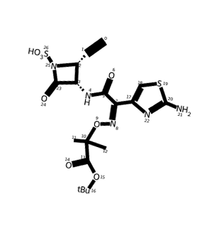 C#C[C@@H]1[C@H](NC(=O)C(=NOC(C)(C)C(=O)OC(C)(C)C)c2csc(N)n2)C(=O)N1S(=O)(=O)O